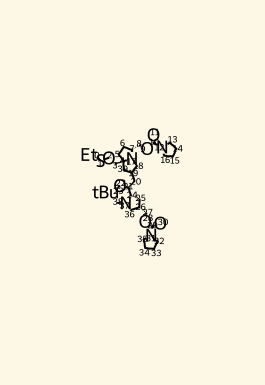 CCSOC[C@@]12CC[C@H](COC(=O)N3CCCC3)N1CC(C[C@H](OC(C)(C)C)[C@@H]1C[C@H](COC(=O)N3CCCC3)CN1C)C2